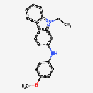 CCn1c2ccccc2c2ccc(Nc3ccc(OC)cc3)cc21